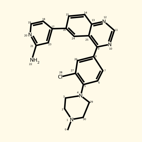 CN1CCN(c2ccc(-c3ncnc4ccc(-c5ccnc(N)c5)cc34)cc2Cl)CC1